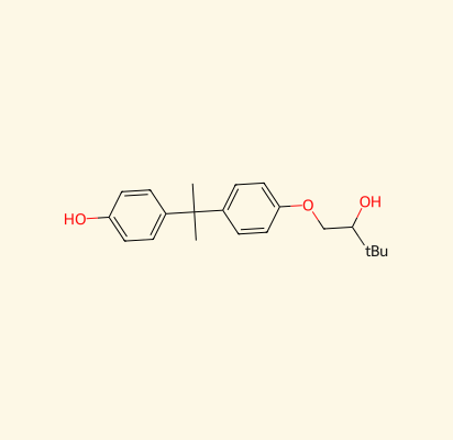 CC(C)(c1ccc(O)cc1)c1ccc(OCC(O)C(C)(C)C)cc1